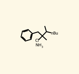 CCCCC(C)C(C)(Cl)Cc1ccccc1.N